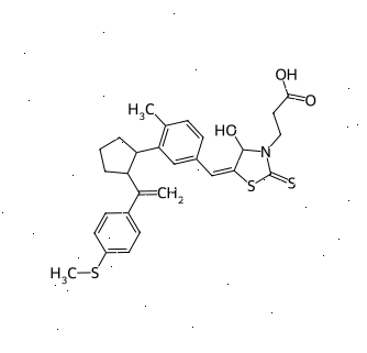 C=C(c1ccc(SC)cc1)C1CCCC1c1cc(/C=C2/SC(=S)N(CCC(=O)O)C2O)ccc1C